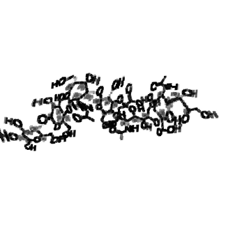 CC(=O)N[C@H]1[C@H](O[C@@H]2[C@H](O)[C@@H](O)[C@H](O[C@H]3[C@H](O)[C@@H](O)[C@H](O)O[C@@H]3CO)O[C@@H]2CO)O[C@H](CO)[C@H](O)[C@@H]1O[C@@H]1O[C@H](CO)[C@H](O)[C@H](O[C@]2(C(=O)O)C[C@H](O)[C@@H](NC(C)=O)[C@H]([C@H](O)[C@@H](CO)O[C@]3(C(=O)O)C[C@H](O)[C@@H](NC(C)=O)[C@H]([C@H](O)[C@H](O)CO)O3)O2)[C@H]1O